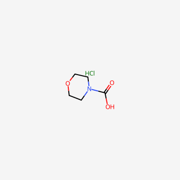 Cl.O=C(O)N1CCOCC1